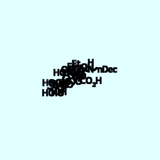 CCCCCCCCCCCCNCC(O)C1OC(OC(CO)C(O)C2OC(OC(CO)C(O)C(O)C(N)C(C)O)(C(=O)O)CC(O)C2NC(=O)CC)(C(=O)O)CC(O)C1NC(=O)CC